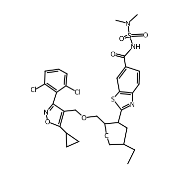 CCC1CCC(COCc2c(-c3c(Cl)cccc3Cl)noc2C2CC2)C(c2nc3ccc(C(=O)NS(=O)(=O)N(C)C)cc3s2)C1